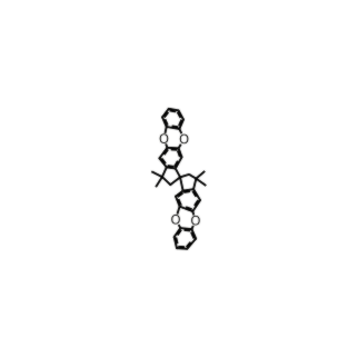 CC1(C)CC2(CC(C)(C)c3cc4c(cc32)Oc2ccccc2O4)c2cc3c(cc21)Oc1ccccc1O3